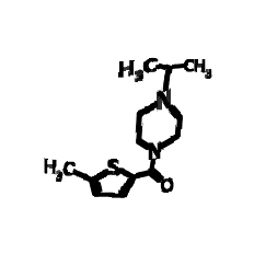 Cc1ccc(C(=O)N2CCN(C(C)C)CC2)s1